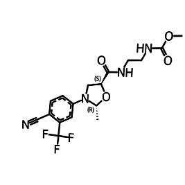 COC(=O)NCCNC(=O)[C@@H]1CN(c2ccc(C#N)c(C(F)(F)F)c2)[C@@H](C)O1